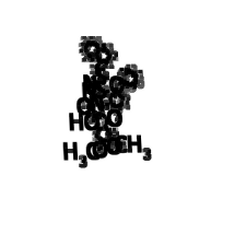 COc1ccc(C(=O)C2=C(O)C(=O)N(c3nnc(SCc4cccc5ccccc45)s3)C2c2cccc(Oc3ccccc3)c2)cc1OC